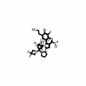 C[S+]([O-])c1nc2c(F)c(Br)c(CCC#N)cc2c2c1cc([C@H]1CCCN1C(=O)N1CC(F)(F)C1)n2[C@H]1[C@@H]2C[C@H]1N(C(=O)O)C2